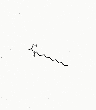 CCCCCCCCCCCNC(C)O